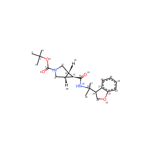 CC(C)(C)OC(=O)N1C[C@@H]2[C@H](C1)[C@H]2C(=O)NC(C)(C)C1COc2ccccc21